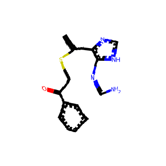 C=C(SCC(=O)c1ccccc1)c1nc[nH]c1/N=C\N